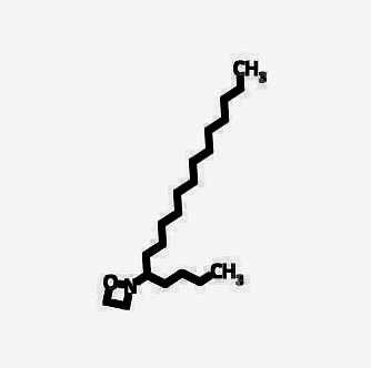 CCCCCCCCCCCCCC(CCCC)N1CCO1